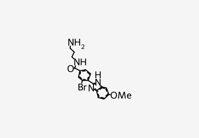 COc1ccc2nc(-c3ccc(C(=O)NCCCN)cc3Br)[nH]c2c1